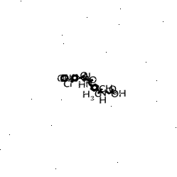 CC(C)(NCCC(=O)O)c1ccc(NC(=O)c2cc(-c3ccc(N4CCOCC4)c(Cl)c3)on2)cc1